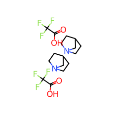 C1CN2CCC1C2.C1CN2CCC1C2.O=C(O)C(F)(F)F.O=C(O)C(F)(F)F